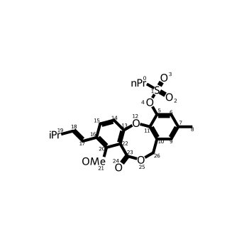 CCCS(=O)(=O)Oc1cc(C)cc2c1Oc1ccc(C=CC(C)C)c(OC)c1C(=O)OC2